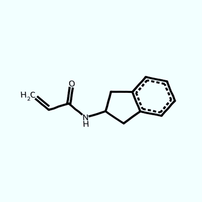 C=CC(=O)NC1Cc2ccccc2C1